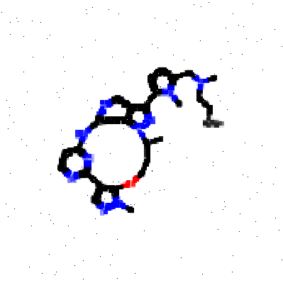 COCCN(C)Cc1ccc(-c2nn3c4cc(ncc24)Nc2ccnc(n2)-c2cnn(C)c2OCC[C@@H]3C)n1C